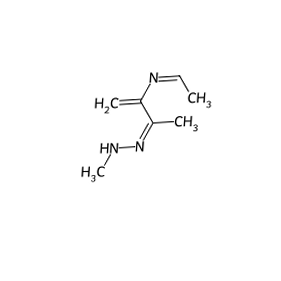 C=C(/N=C\C)/C(C)=N\NC